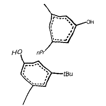 CCCc1cc(C)cc(O)c1.Cc1cc(O)cc(C(C)(C)C)c1